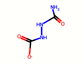 NC(=O)NNC([O])=O